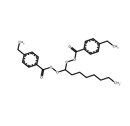 [CH2]CCCCCC[C](OOC(=O)c1ccc(CC)cc1)OOC(=O)c1ccc(CC)cc1